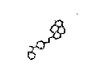 C=C(c1ccccc1)c1ccc(C=Cc2ccc3ccc4cccc5ccc2c3c45)cc1